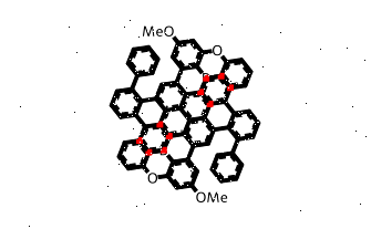 COc1cc2c3c(c1)-c1cc(-c4c(-c5ccccc5)cccc4-c4ccccc4)c4cc5c6c(cc(-c7c(-c8ccccc8)cccc7-c7ccccc7)c7cc(c1c4c76)B3c1ccccc1O2)-c1cc(OC)cc2c1B5c1ccccc1O2